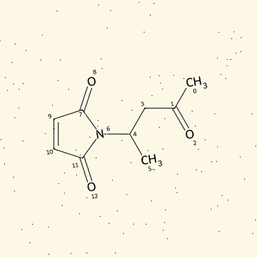 CC(=O)CC(C)N1C(=O)C=CC1=O